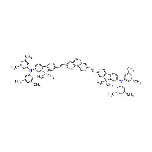 Cc1cc(C)cc(N(c2cc(C)cc(C)c2)c2ccc3c(c2)C(C)(C)c2cc(/C=C/c4ccc5c(ccc6cc(/C=C/c7ccc8c(c7)C(C)(C)c7cc(N(c9cc(C)cc(C)c9)c9cc(C)cc(C)c9)ccc7-8)ccc65)c4)ccc2-3)c1